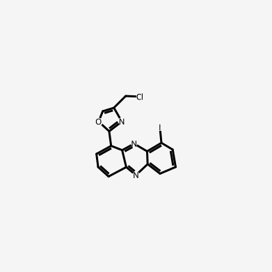 ClCc1coc(-c2cccc3nc4cccc(I)c4nc23)n1